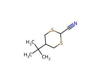 CC(C)(C)C1CSC(C#N)SC1